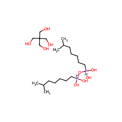 CC(C)CCCCC[PH](O)(O)O[PH](O)(O)CCCCCC(C)C.OCC(CO)(CO)CO